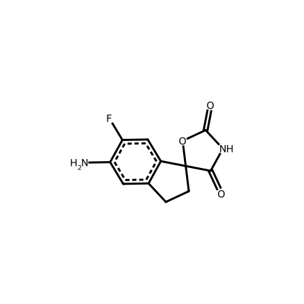 Nc1cc2c(cc1F)C1(CC2)OC(=O)NC1=O